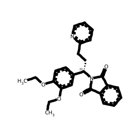 CCOc1ccc([C@H](CCc2ccccn2)N2C(=O)c3ccccc3C2=O)cc1OCC